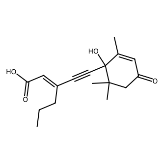 CCC/C(C#CC1(O)C(C)=CC(=O)CC1(C)C)=C\C(=O)O